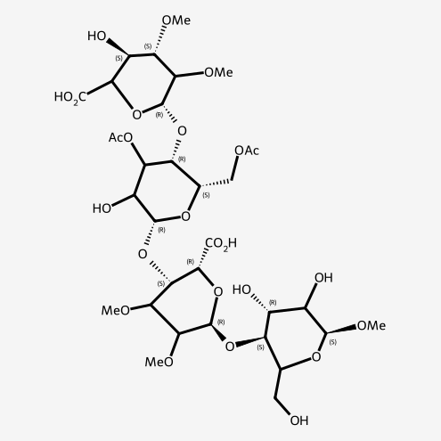 COC1C(OC)[C@H](O[C@H]2O[C@@H](COC(C)=O)[C@@H](O[C@@H]3OC(C(=O)O)[C@@H](O)[C@H](OC)C3OC)C(OC(C)=O)C2O)[C@H](C(=O)O)O[C@H]1O[C@@H]1C(CO)O[C@H](OC)C(O)[C@H]1O